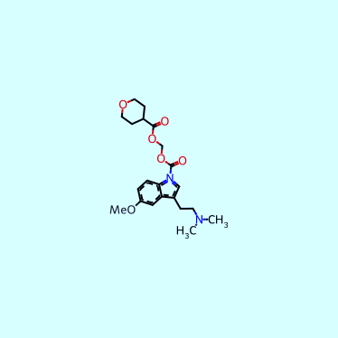 COc1ccc2c(c1)c(CCN(C)C)cn2C(=O)OCOC(=O)C1CCOCC1